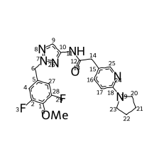 COc1c(F)cc(Cn2ncc(NC(=O)Cc3ccc(N4CCCC4)nc3)n2)cc1F